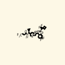 O=C(CCC(F)(F)F)N[C@@H](c1cnn2cc([C@@H](NC(=O)[C@@H]3C(F)(F)C34CCC4)C3CCC(F)(F)CC3)nc2c1)C1CC1